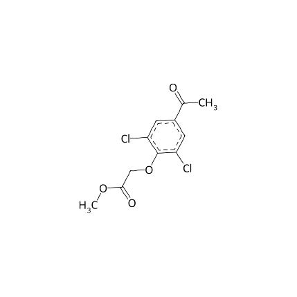 COC(=O)COc1c(Cl)cc(C(C)=O)cc1Cl